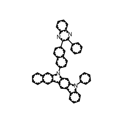 c1ccc(-c2nc3ccccc3nc2-c2ccc3cc(-n4c5cc6ccccc6cc5c5cc6c7ccccc7n(-c7ccccc7)c6cc54)ccc3c2)cc1